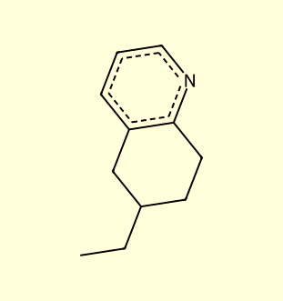 CCC1CCc2ncccc2C1